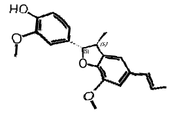 CC=Cc1cc(OC)c2c(c1)[C@H](C)[C@@H](c1ccc(O)c(OC)c1)O2